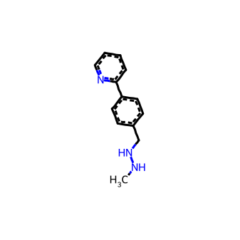 CNNCc1ccc(-c2ccccn2)cc1